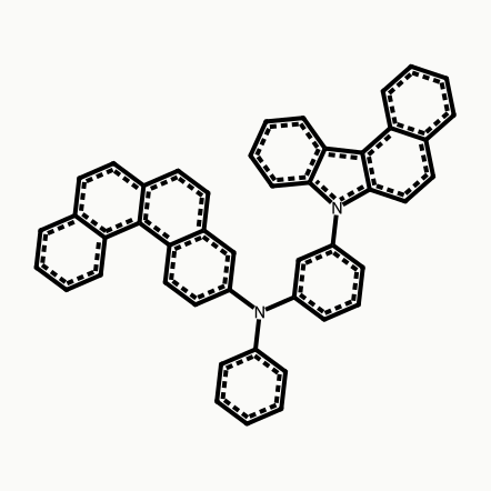 c1ccc(N(c2cccc(-n3c4ccccc4c4c5ccccc5ccc43)c2)c2ccc3c(ccc4ccc5ccccc5c43)c2)cc1